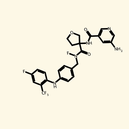 Nc1cncc(C(=O)NC2(C(=O)N(F)Cc3ccc(Nc4ccc(F)cc4C(F)(F)F)cc3)CCOC2)c1